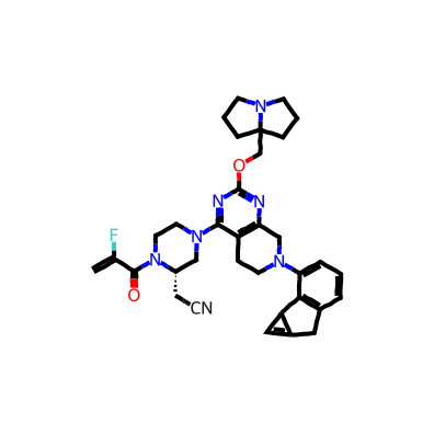 C=C(F)C(=O)N1CCN(c2nc(OCC34CCCN3CCC4)nc3c2CCN(c2cccc4c2C2C=C2C4)C3)C[C@@H]1CC#N